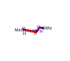 COCCNCC(=O)OCCNCC(=O)OCCOCCOCCOCNC(=O)OC